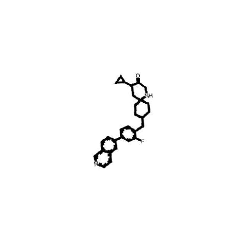 O=C1CNC2(CCC(Cc3ccc(-c4ccc5cnccc5c4)cc3F)CC2)CC1C1CC1